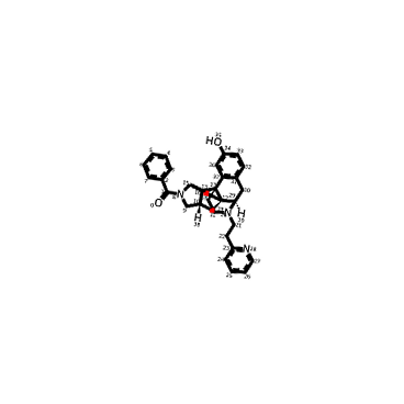 O=C(c1ccccc1)N1C[C@H]2C[C@@]34CCC1C2[C@@]31CCN(CCc2ccccn2)[C@@H]4Cc2ccc(O)cc21